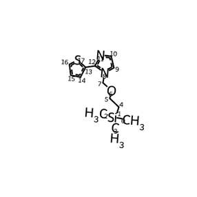 C[Si](C)(C)CCOCn1ccnc1-c1cccs1